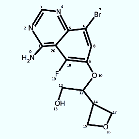 Nc1ncnc2c(Br)cc(OC(CO)C3COC3)c(F)c12